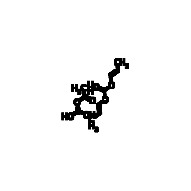 CC(=O)OB(O)O.CC=COC(=O)OC=CC.[LiH]